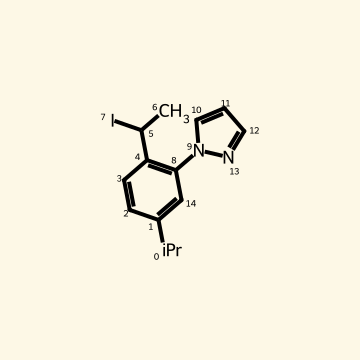 CC(C)c1ccc(C(C)I)c(-n2cccn2)c1